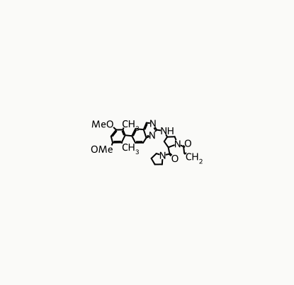 C=CC(=O)N1CC(Nc2ncc3cc(-c4c(C)c(OC)cc(OC)c4C)ccc3n2)CC1C(=O)N1CCCC1